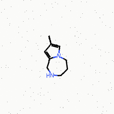 Cc1cc2n(c1)CCCNC2